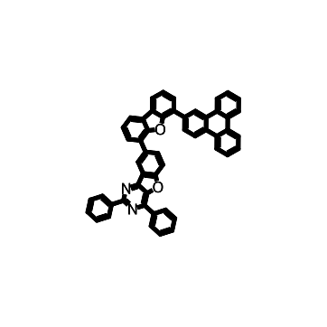 c1ccc(-c2nc(-c3ccccc3)c3oc4ccc(-c5cccc6c5oc5c(-c7ccc8c9ccccc9c9ccccc9c8c7)cccc56)cc4c3n2)cc1